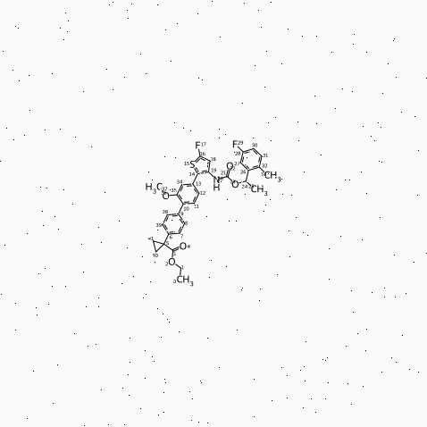 CCOC(=O)C1(c2ccc(-c3ccc(-c4sc(F)cc4NC(=O)OC(C)c4cc(F)ccc4C)cc3OC)cc2)CC1